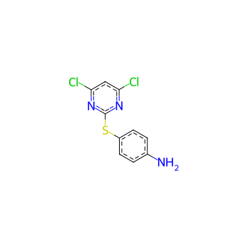 Nc1ccc(Sc2nc(Cl)cc(Cl)n2)cc1